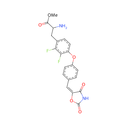 COC(=O)C(N)Cc1ccc(Oc2ccc(/C=C3/OC(=O)NC3=O)cc2)c(F)c1F